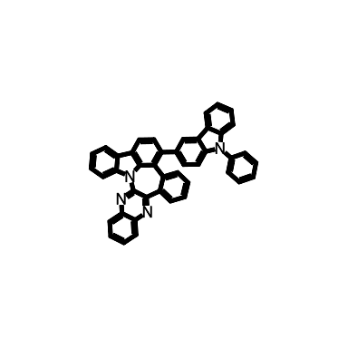 c1ccc(-n2c3ccccc3c3cc(-c4ccc5c6ccccc6n6c5c4-c4ccccc4-c4nc5ccccc5nc4-6)ccc32)cc1